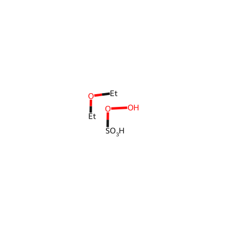 CCOCC.O=S(=O)(O)OO